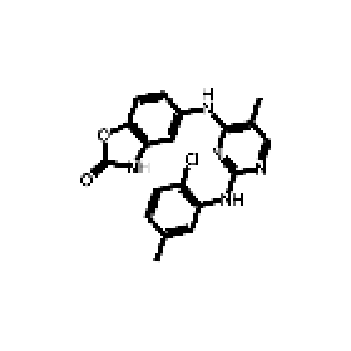 Cc1ccc(Cl)c(Nc2ncc(C)c(Nc3ccc4oc(=O)[nH]c4c3)n2)c1